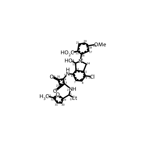 CCC(Nc1c(Nc2ccc(Cl)c3c2C(O)N(c2cc(OC)ccc2C(=O)O)C3)c(=O)c1=O)c1ccc(C)o1